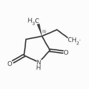 [CH2]C[C@@]1(C)CC(=O)NC1=O